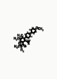 COc1ccc(N2CCN(c3c(C)c(C)c4c(c3C3CC3)C(=O)C(C)(C)O4)CC2)cc1